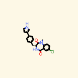 CN1C(=O)[C@@H](Cc2ccc(-c3cc[nH]c3)cc2)NC(=O)c2cc(Cl)ccc21